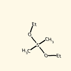 CCOS(C)(C)OCC